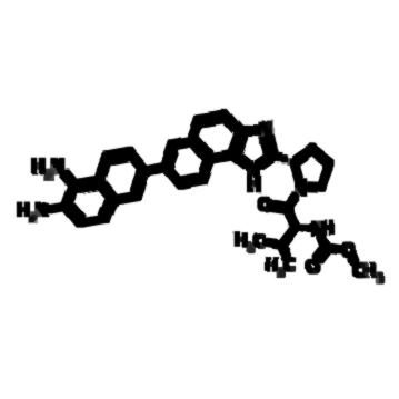 COC(=O)N[C@H](C(=O)N1CCC[C@H]1c1nc2ccc3cc(-c4ccc5c(N)c(N)ccc5c4)ccc3c2[nH]1)C(C)C